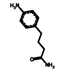 NC(=O)CCCc1ccc(N)cc1